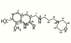 Cc1ccc2cc(CNCCCN3CCOCC3)c(=O)[nH]c2c1C